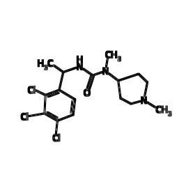 CC(NC(=O)N(C)C1CCN(C)CC1)c1ccc(Cl)c(Cl)c1Cl